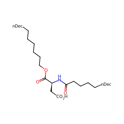 CCCCCCCCCCCCCCCCOC(=O)[C@H](CC(=O)O)NC(=O)CCCCCCCCCCCCCC